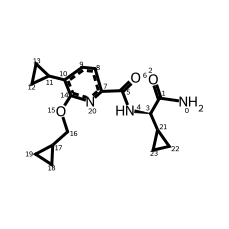 NC(=O)[C@H](NC(=O)c1ccc(C2CC2)c(OCC2CC2)n1)C1CC1